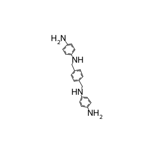 Nc1ccc(NCc2ccc(CNc3ccc(N)cc3)cc2)cc1